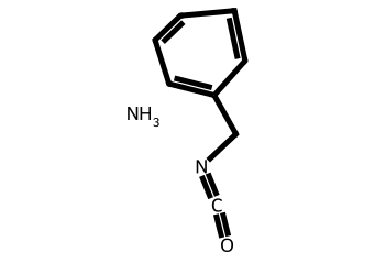 N.O=C=NCc1ccccc1